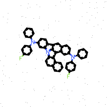 Fc1ccc(N(c2ccccc2)c2ccc3cc4c5ccc(N(c6ccccc6)c6ccc(F)cc6)cc5n5c6ccc7ccccc7c6c(c3c2)c45)cc1